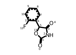 O=C1NC(=O)C(c2ccccc2F)O1